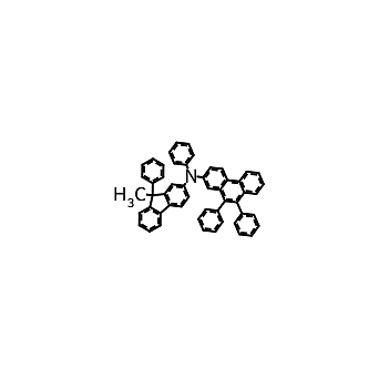 CC1(c2ccccc2)c2ccccc2-c2ccc(N(c3ccccc3)c3ccc4c(c3)c(-c3ccccc3)c(-c3ccccc3)c3ccccc34)cc21